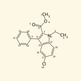 CCn1c(C(=O)OC)c(-c2ccccc2)c2cc(Cl)ccc21